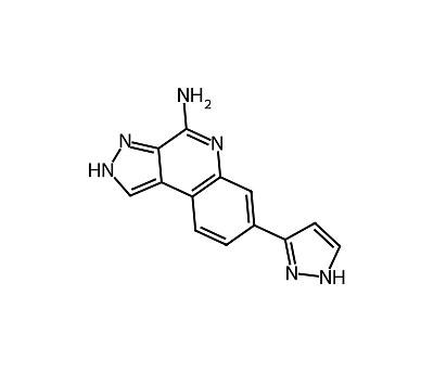 Nc1nc2cc(-c3cc[nH]n3)ccc2c2c[nH]nc12